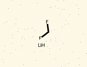 FCF.[LiH]